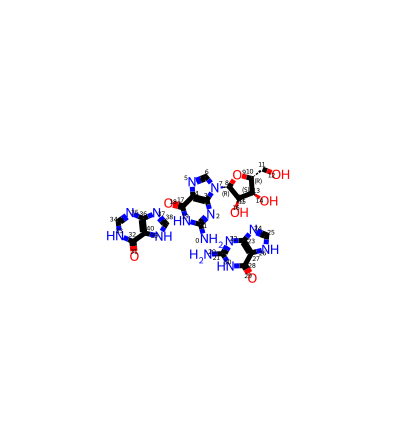 Nc1nc2c(ncn2[C@@H]2O[C@H](CO)[C@@H](O)[C@H]2O)c(=O)[nH]1.Nc1nc2nc[nH]c2c(=O)[nH]1.O=c1[nH]cnc2nc[nH]c12